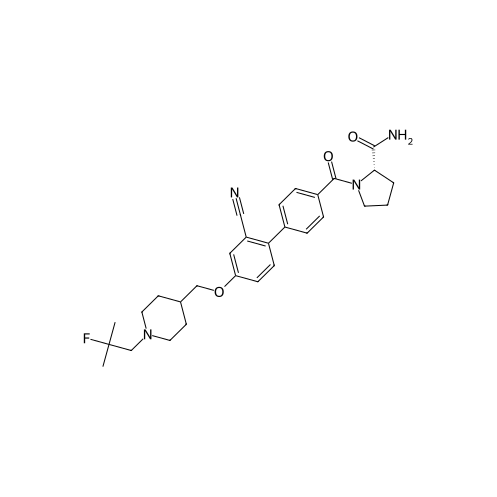 CC(C)(F)CN1CCC(COc2ccc(-c3ccc(C(=O)N4CCC[C@H]4C(N)=O)cc3)c(C#N)c2)CC1